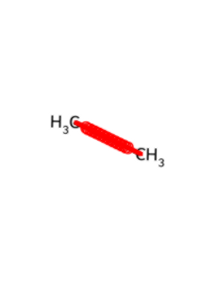 CCCCCCCCCCCCCCCCCCOCCOCCOCCOCCOCCOCCOCCOCCOCCOCCOCCOCCOCCOCCOCCOCCOCCOCCOCCOCCOCCCCCCCCCCCCCCCC